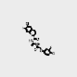 C=C(NC(=O)COc1ccc(Cl)c(F)c1)NC(=O)[C@H]1CCc2cc(Cl)c(F)cc2O1